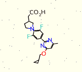 Cc1cc(OCC2CC2)nc(-c2cc(F)c(N3CCC(CC(=O)O)C3)c(F)c2)n1